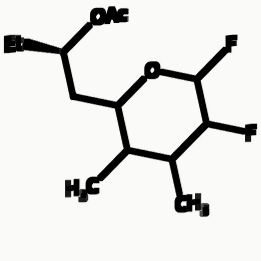 CC[C@H](CC1OC(F)C(F)C(C)C1C)OC(C)=O